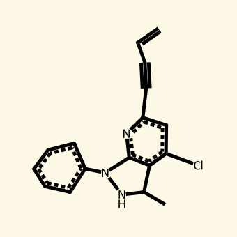 C=CC#Cc1cc(Cl)c2c(n1)N(c1ccccc1)NC2C